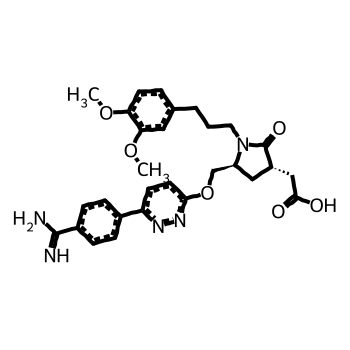 COc1ccc(CCCN2C(=O)[C@H](CC(=O)O)C[C@H]2COc2ccc(-c3ccc(C(=N)N)cc3)nn2)cc1OC